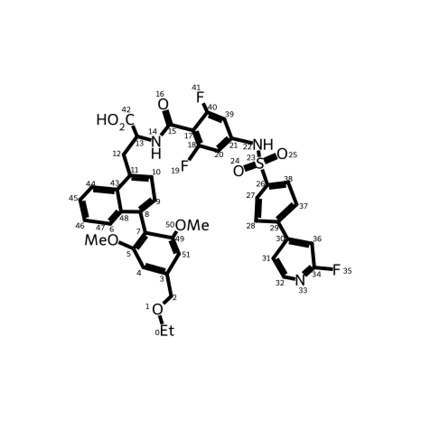 CCOCc1cc(OC)c(-c2ccc(CC(NC(=O)c3c(F)cc(NS(=O)(=O)c4ccc(-c5ccnc(F)c5)cc4)cc3F)C(=O)O)c3ccccc23)c(OC)c1